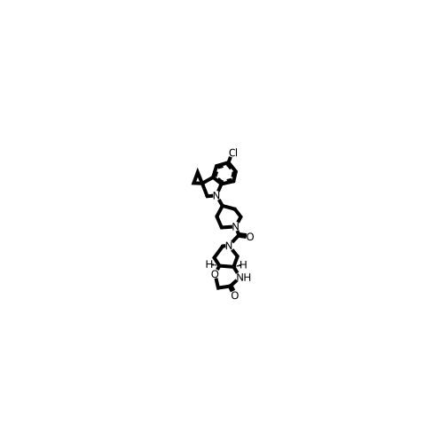 O=C1CO[C@H]2CCN(C(=O)N3CCC(N4CC5(CC5)c5cc(Cl)ccc54)CC3)C[C@H]2N1